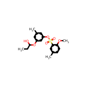 CCC(O)Oc1cc(C)cc(OS(=O)(=O)c2cc(C)ccc2OC)c1